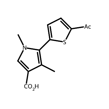 CC(=O)c1ccc(-c2c(C)c(C(=O)O)cn2C)s1